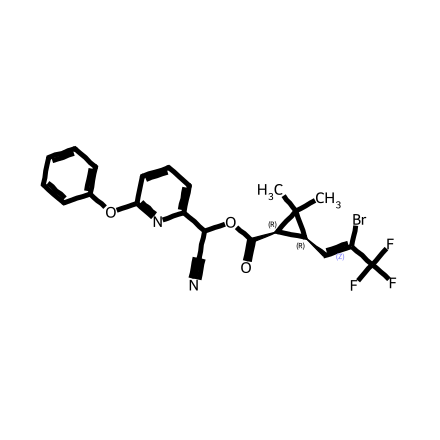 CC1(C)[C@H](C(=O)OC(C#N)c2cccc(Oc3ccccc3)n2)[C@@H]1/C=C(\Br)C(F)(F)F